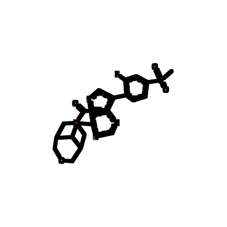 CC(C)COC(=O)N1CC2COCC(C1)C2Oc1ncnc2c(-c3ccc(S(C)(=O)=O)cc3F)csc12